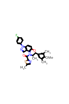 COc1c(C)cc([C@@H](Oc2ccc3c(cnn3-c3ccc(F)cc3)c2)[C@H](C)NC(=O)c2ncc(C)s2)cc1C